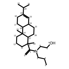 C=C(N(CCC)CCO)C1(C)CCCC2(C)C3CCC(C(C)C)=CC3CCC12